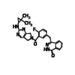 CC1(C)CC1Nc1ncc2c(n1)CN(C(=O)c1cc(Cc3n[nH]c(=O)c4ccccc34)ccc1F)C2